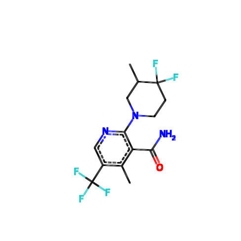 Cc1c(C(F)(F)F)cnc(N2CCC(F)(F)C(C)C2)c1C(N)=O